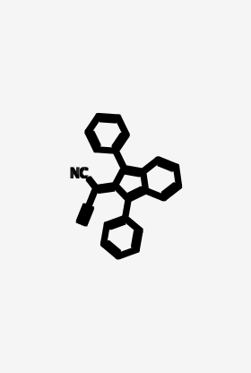 C#CC(C#N)=C1C(c2ccccc2)=c2ccccc2=C1c1ccccc1